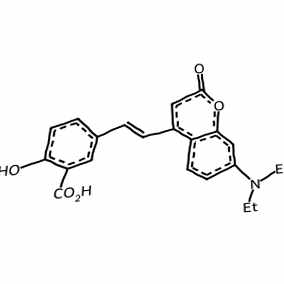 CCN(CC)c1ccc2c(/C=C/c3ccc(O)c(C(=O)O)c3)cc(=O)oc2c1